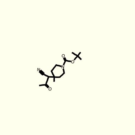 CC(=O)C(C#N)C1(C)CCN(C(=O)OC(C)(C)C)CC1